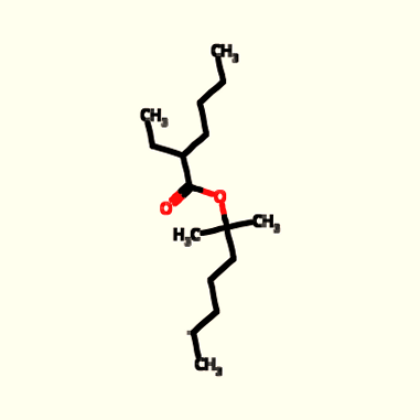 C[CH]CCCC(C)(C)OC(=O)C(CC)CCCC